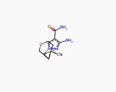 N#C[C@]12CCOCC1(n1cc(C(N)=O)c(N)n1)C2